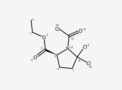 CCOC(=O)[C@@H]1CCC(Cl)(Cl)N1C(=O)Cl